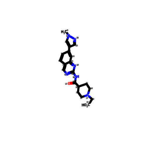 Cn1cc(-c2ccc3cnc(NC(=O)C4CCN(CC(=O)O)CC4)nc3c2)cn1